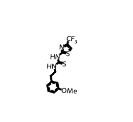 COc1cccc(CCNC(=S)Nc2nc(C(F)(F)F)cs2)c1